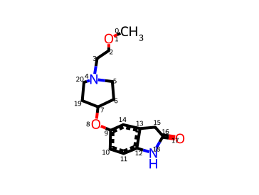 COCCN1CCC(Oc2ccc3c(c2)CC(=O)N3)CC1